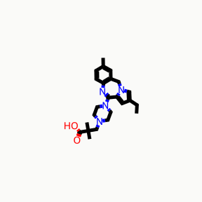 CCc1cc2n(c1)Cc1cc(C)ccc1N=C2N1CCN(CC(C)(C)C(=O)O)CC1